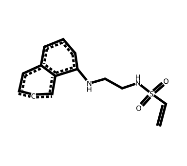 C=CS(=O)(=O)NCCNc1cccc2ccccc12